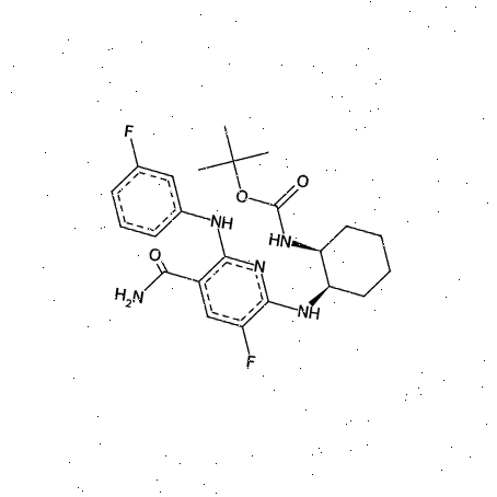 CC(C)(C)OC(=O)N[C@H]1CCCC[C@H]1Nc1nc(Nc2cccc(F)c2)c(C(N)=O)cc1F